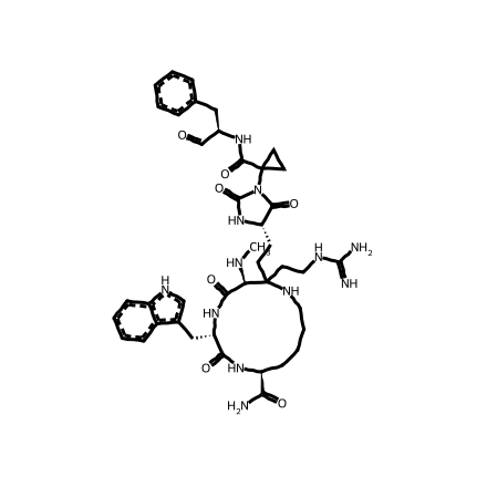 CN[C@@H]1C(=O)N[C@@H](Cc2c[nH]c3ccccc23)C(=O)N[C@H](C(N)=O)CCCCNC1(CCNC(=N)N)CC[C@@H]1NC(=O)N(C2(C(=O)N[C@@H](C=O)Cc3ccccc3)CC2)C1=O